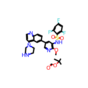 CC(C)(C)OC=O.COc1ncc(-c2ccc3nccc(N4CCNCC4)c3c2)cc1NS(=O)(=O)c1c(F)cc(F)cc1F